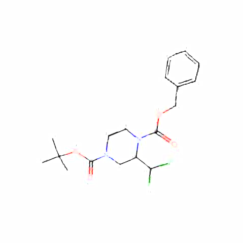 CC(C)(C)OC(=O)N1CCN(C(=O)OCc2ccccc2)C(C(F)F)C1